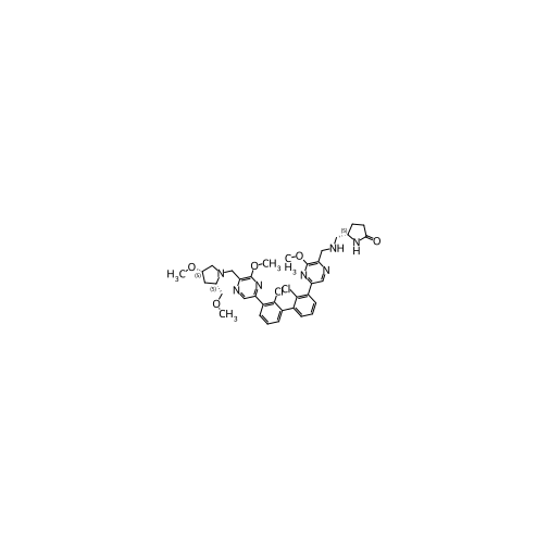 COC[C@@H]1C[C@H](OC)CN1Cc1ncc(-c2cccc(-c3cccc(-c4cnc(CNC[C@@H]5CCC(=O)N5)c(OC)n4)c3Cl)c2Cl)nc1OC